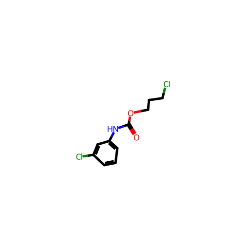 O=C(Nc1cccc(Cl)c1)OCCCCl